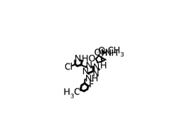 CNC(=O)[C@@]12C[C@@H]1C(n1cnc3c(NCc4cc(C)ccc4F)nc(-c4cncc(Cl)c4)nc31)[C@H](O)[C@@H]2O